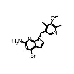 COc1c(C)ncc(Cn2ccc3c(Br)nc(N)nc32)c1C